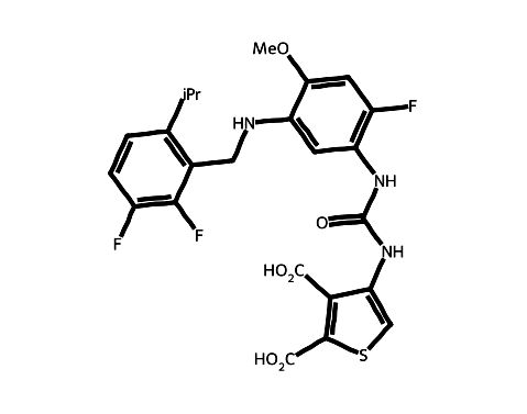 COc1cc(F)c(NC(=O)Nc2csc(C(=O)O)c2C(=O)O)cc1NCc1c(C(C)C)ccc(F)c1F